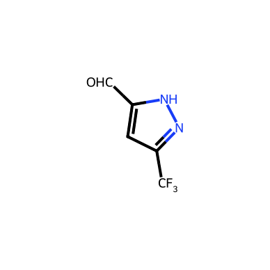 O=Cc1cc(C(F)(F)F)n[nH]1